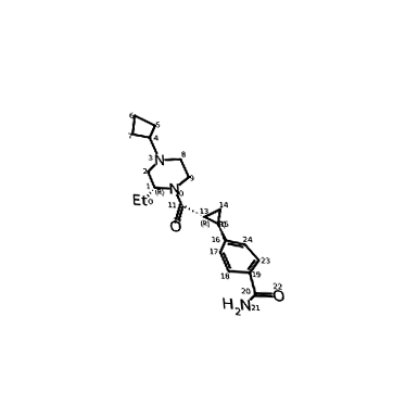 CC[C@@H]1CN(C2CCC2)CCN1C(=O)[C@@H]1C[C@H]1c1ccc(C(N)=O)cc1